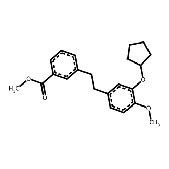 COC(=O)c1cccc(CCc2ccc(OC)c(OC3CCCC3)c2)c1